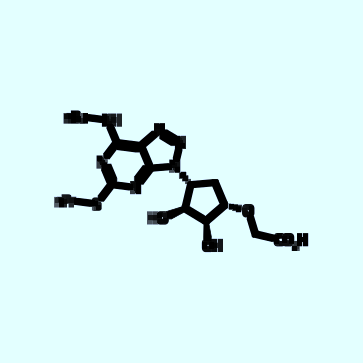 CCCCNc1nc(SCCC)nc2c1nnn2[C@@H]1C[C@H](OCC(=O)O)[C@@H](O)[C@H]1O